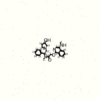 CNc1cnc(OCC(=O)N(C)[C@H](CN2CC[C@H](O)C2)c2ccccc2)c2ccccc12